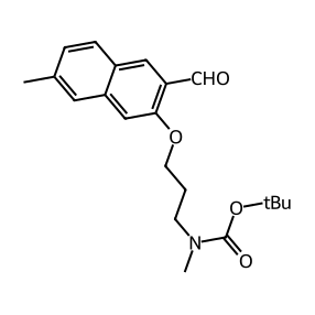 Cc1ccc2cc(C=O)c(OCCCN(C)C(=O)OC(C)(C)C)cc2c1